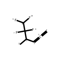 [CH2]C(C=C=C)C(F)(F)[C](F)F